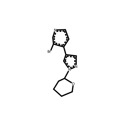 Brc1cnccc1-c1cnn(C2CCCCO2)c1